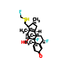 C[C@@H]1C[C@@H]2[C@@](C)(C[C@H](O)[C@]3(F)[C@@]4(C)C=CC(=O)C=C4[C@@H](F)C[C@@]23C)[C]1C=[SH]CF